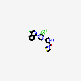 Cl.Cl.Cl.O=C([C@@H]1C[C@H](N2CCN(c3ncc(Cl)c4ccccc34)CC2)CN1)N1CCSC1